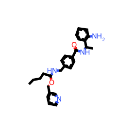 CCCCC(NCc1ccc(C(=O)NC(C)c2ccccc2N)cc1)OCc1cccnc1